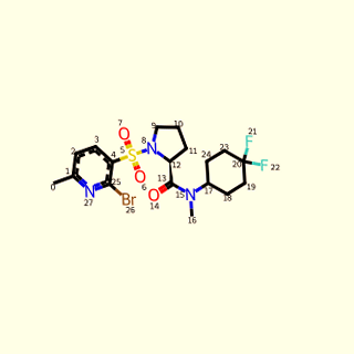 Cc1ccc(S(=O)(=O)N2CCC[C@H]2C(=O)N(C)C2CCC(F)(F)CC2)c(Br)n1